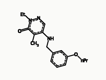 CCCOc1cccc(CNc2cnn(CC)c(=O)c2C)c1